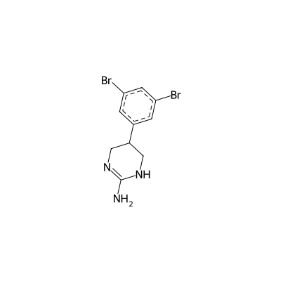 NC1=NCC(c2cc(Br)cc(Br)c2)CN1